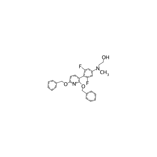 CN(CCO)c1cc(F)c(-c2ccc(OCc3ccccc3)nc2OCc2ccccc2)c(F)c1